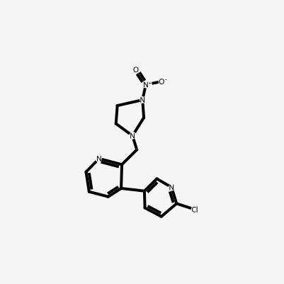 O=[N+]([O-])N1CCN(Cc2ncccc2-c2ccc(Cl)nc2)C1